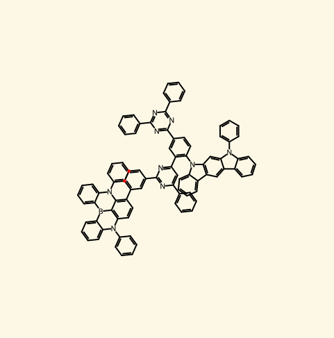 c1ccc(-c2cc(-c3cc(-c4nc(-c5ccccc5)nc(-c5ccccc5)n4)ccc3-n3c4ccccc4c4cc5c6ccccc6n(-c6ccccc6)c5cc43)nc(-c3cccc(-c4ccc5c6c4N(c4ccccc4)c4ccccc4B6c4ccccc4N5c4ccccc4)c3)n2)cc1